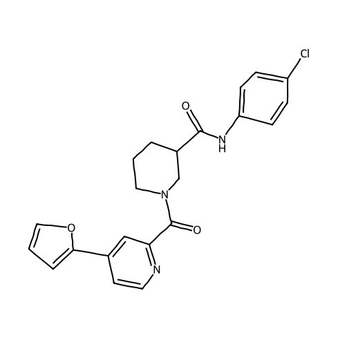 O=C(Nc1ccc(Cl)cc1)C1CCCN(C(=O)c2cc(-c3ccco3)ccn2)C1